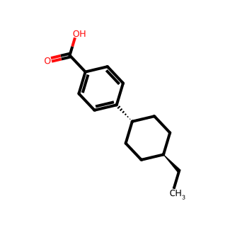 CC[C@H]1CC[C@H](c2ccc(C(=O)O)cc2)CC1